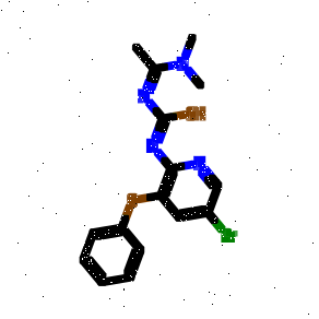 CC(=NC(S)=Nc1ncc(Br)cc1Sc1ccccc1)N(C)C